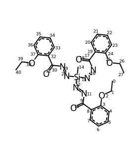 CCOc1ccccc1C(=O)N=N[Si](C)(N=NC(=O)c1ccccc1OCC)N=NC(=O)c1ccccc1OCC